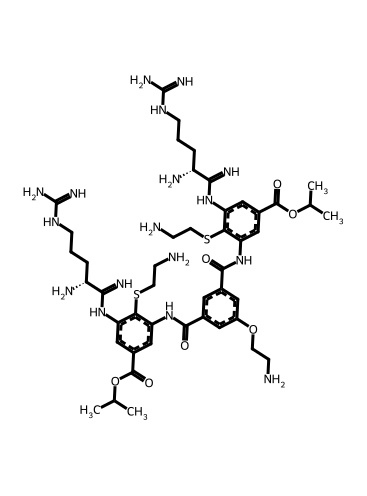 CC(C)OC(=O)c1cc(NC(=N)[C@H](N)CCCNC(=N)N)c(SCCN)c(NC(=O)c2cc(OCCN)cc(C(=O)Nc3cc(C(=O)OC(C)C)cc(NC(=N)[C@H](N)CCCNC(=N)N)c3SCCN)c2)c1